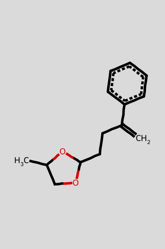 C=C(CCC1OCC(C)O1)c1ccccc1